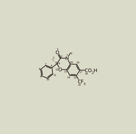 CN1C(=O)[C@](C)(c2ccccc2)Oc2cc(C(F)(F)F)c(C(=O)O)cc21